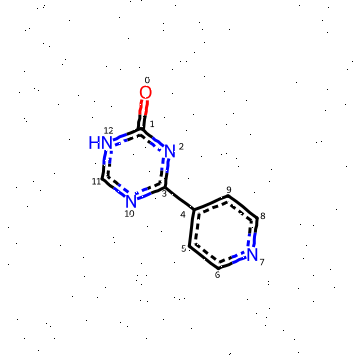 O=c1nc(-c2ccncc2)nc[nH]1